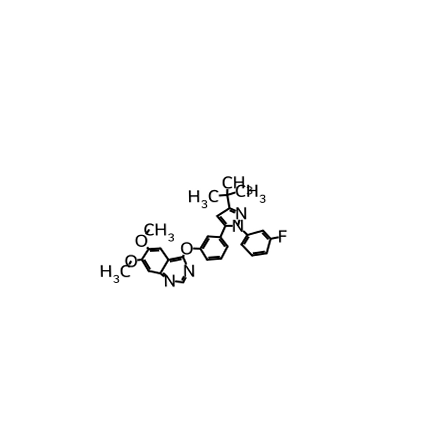 COc1cc2ncnc(Oc3cccc(-c4cc(C(C)(C)C)nn4-c4cccc(F)c4)c3)c2cc1OC